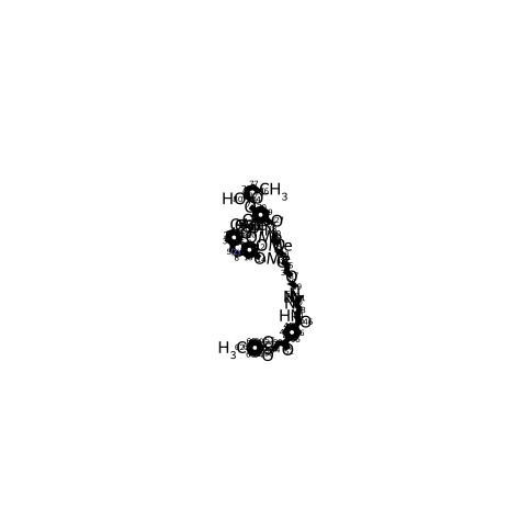 COc1ccc(/C=C\c2cc(OC)c(OC)c(OC)c2)cc1OS(=O)(=O)Oc1cc(C(=O)NCCOCCOCCOCCn2cc(CNC(=O)c3ccc(C(=O)CCS(=O)(=O)c4ccc(C)cc4)cc3)nn2)ccc1OC1O[C@H](C)CC[C@H]1O